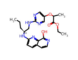 CCC[C@@H](CNc1ncc(OC(C)C(=O)OCC)cn1)Nc1ccc2ccnc(O)c2n1